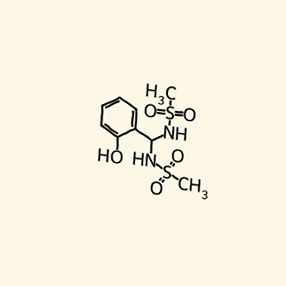 CS(=O)(=O)NC(NS(C)(=O)=O)c1ccccc1O